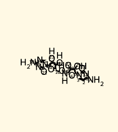 Nc1ccn([C@@H]2O[C@H](NOC[C@H]3O[C@@H](n4cnc(N)nc4=O)[C@H](O)[C@@H]3O)[C@@H](O)[C@H]2O)c(=O)n1